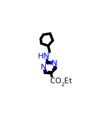 CCOC(=O)c1cnc(NCC2CCCCC2)nc1